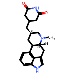 CN1C[C@H](CC2CC(=O)NC(=O)C2)CC2c3cccc4[nH]cc(c34)C[C@H]21